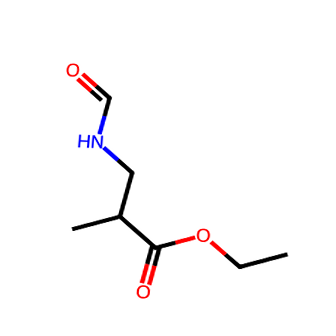 CCOC(=O)C(C)CNC=O